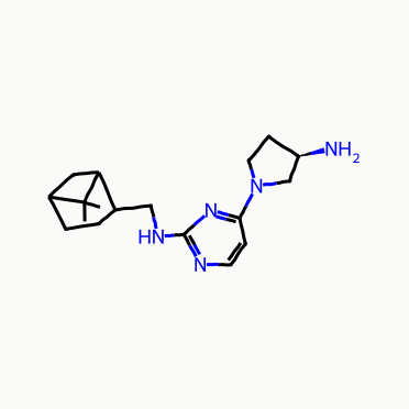 CC1(C)C2CCC(CNc3nccc(N4CC[C@@H](N)C4)n3)C1C2